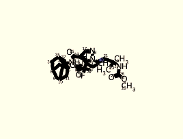 CCNC(=O)OC12CC3CC(C1)C(NC(=O)c1cnn(/C=C/C(C)(C)NC(=O)OC)c1C(F)(F)F)C(C3)C2